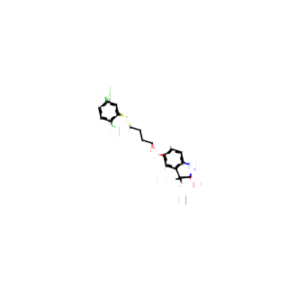 CC1(C)C(=O)Nc2ccc(OCCCCSc3cc(Cl)ccc3Cl)cc21